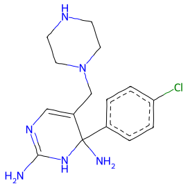 NC1=NC=C(CN2CCNCC2)C(N)(c2ccc(Cl)cc2)N1